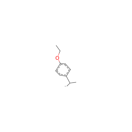 [CH2]C(C)c1ccc(OCC)cc1